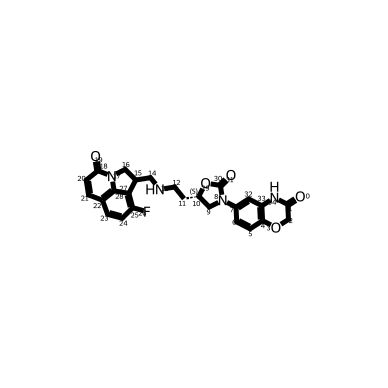 O=C1COc2ccc(N3C[C@H](CCNCC4Cn5c(=O)ccc6ccc(F)c4c65)OC3=O)cc2N1